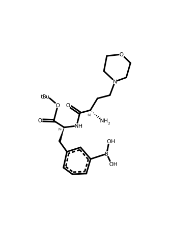 CC(C)(C)OC(=O)[C@H](Cc1cccc(B(O)O)c1)NC(=O)[C@@H](N)CCN1CCOCC1